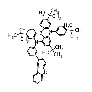 CC(C)(C)c1ccc(N2c3cc(C(C)(C)C)ccc3B3c4ccc(C(C)(C)C)cc4N(c4cccc(-c5ccc6oc7ccccc7c6c5)c4)c4cc(C(C)(C)C)cc2c43)cc1